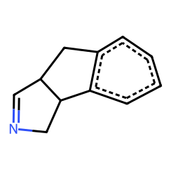 C1=NCC2c3ccccc3CC12